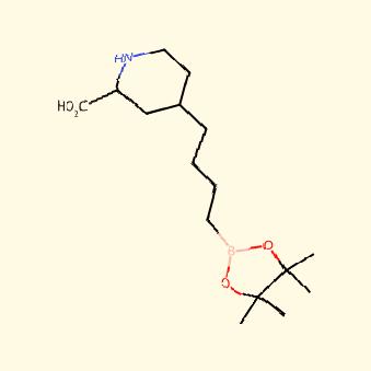 CC1(C)OB(CCCCC2CCNC(C(=O)O)C2)OC1(C)C